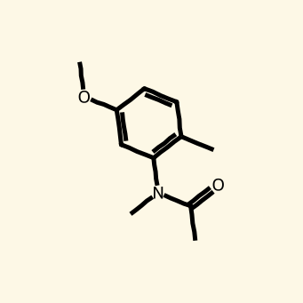 COc1ccc(C)c(N(C)C(C)=O)c1